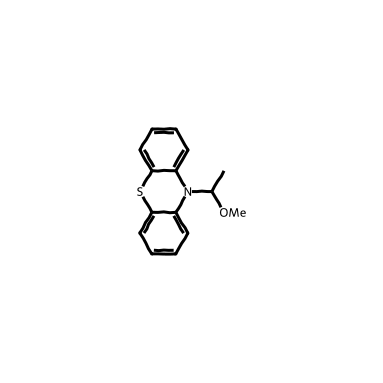 COC(C)N1c2ccccc2Sc2ccccc21